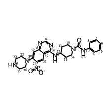 O=C(Nc1ccccc1)N1CCC(Nc2ncnc3cc(N4CCNCC4)c([N+](=O)[O-])cc23)CC1